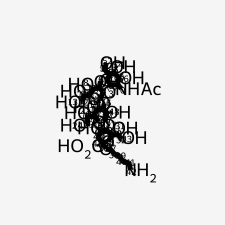 CC(=O)NC1[C@@H](OC2C(O)[C@H](O)[C@H]([C@@H](O)CO)O[C@@H]2OC2[C@H](O)C([C@@H](O)CO)O[C@H](O[C@H]3C([C@H](O)CO)O[C@@](OCCCCCN)(C(=O)O)C[C@H]3O)[C@@H]2O)OC(CO)[C@@H](O)[C@H]1O